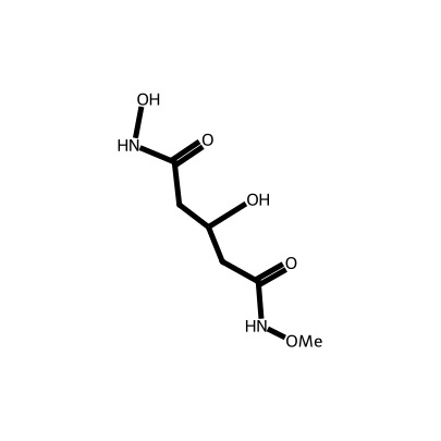 CONC(=O)CC(O)CC(=O)NO